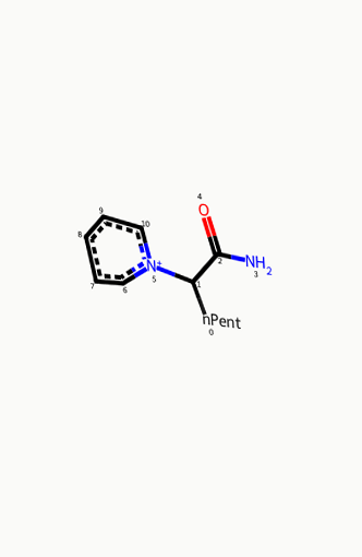 CCCCCC(C(N)=O)[n+]1ccccc1